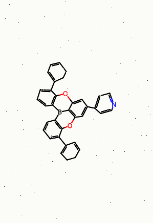 C1=CCCC(c2cccc3c2Oc2cc(-c4ccncc4)cc4c2B3c2cccc(C3=CCCC=C3)c2O4)=C1